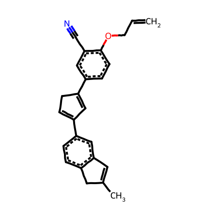 C=CCOc1ccc(C2=CC(c3ccc4c(c3)C=C(C)C4)=CC2)cc1C#N